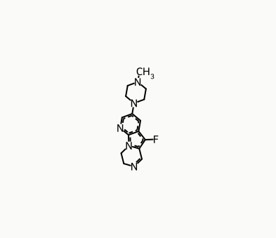 CN1CCN(c2cnc3c(c2)c(F)c2n3CCN=C2)CC1